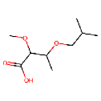 COC(C(=O)O)C(C)OCC(C)C